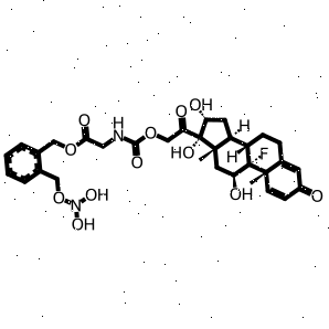 C[C@]12C=CC(=O)C=C1CC[C@H]1[C@@H]3C[C@@H](O)[C@](O)(C(=O)COC(=O)NCC(=O)OCc4ccccc4CON(O)O)[C@@]3(C)C[C@H](O)[C@@]12F